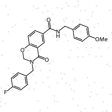 COc1ccc(CNC(=O)c2ccc3c(c2)C(=O)N(Cc2ccc(F)cc2)CO3)cc1